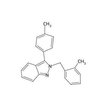 Cc1ccc(-c2c3ccccc3nn2Cc2ccccc2C)cc1